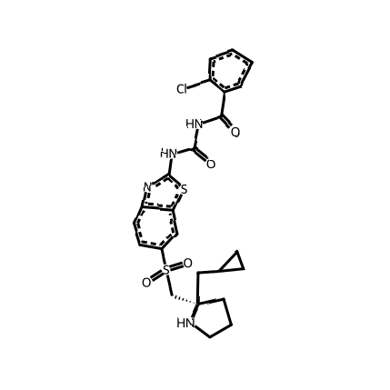 O=C(NC(=O)c1ccccc1Cl)Nc1nc2ccc(S(=O)(=O)C[C@]3(CC4CC4)CCCN3)cc2s1